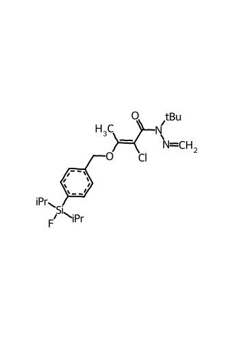 C=NN(C(=O)/C(Cl)=C(\C)OCc1ccc([Si](F)(C(C)C)C(C)C)cc1)C(C)(C)C